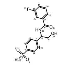 CCS(=O)(=O)c1ccc([C@H](CO)NC(=O)c2cccc(F)c2)nc1